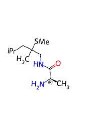 CSC(C)(CNC(=O)[C@@H](C)N)CC(C)C